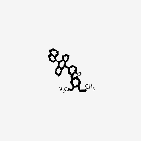 C=Cc1cc2c(cc1/C=C\C)oc1ccc(-c3c4ccccc4c(-c4cccc5ccccc45)c4ccccc34)cc12